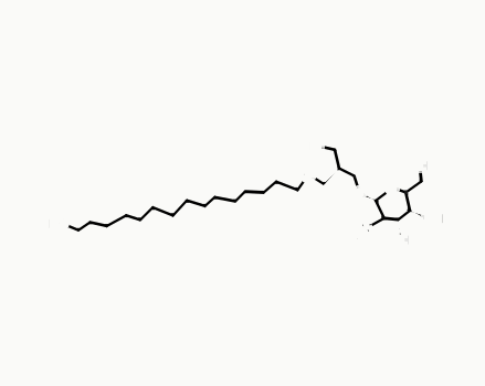 CCCCCCCCCCCCCCCCOC[C@@H](CO)CO[C@H]1OC(CO)[C@@H](O)[C@H](O)C1N